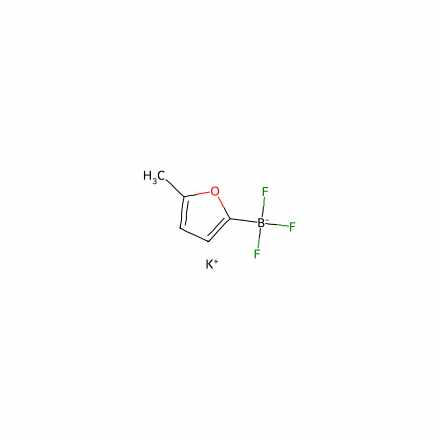 Cc1ccc([B-](F)(F)F)o1.[K+]